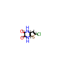 O=c1[nH]c2cc(Cl)sc2[nH]c1=O